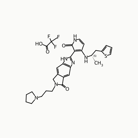 C[C@@H](Cc1cccs1)Nc1cc[nH]c(=O)c1-c1nc2cc3c(cc2[nH]1)CN(CCCN1CCCC1)C3=O.O=C(O)C(F)(F)F